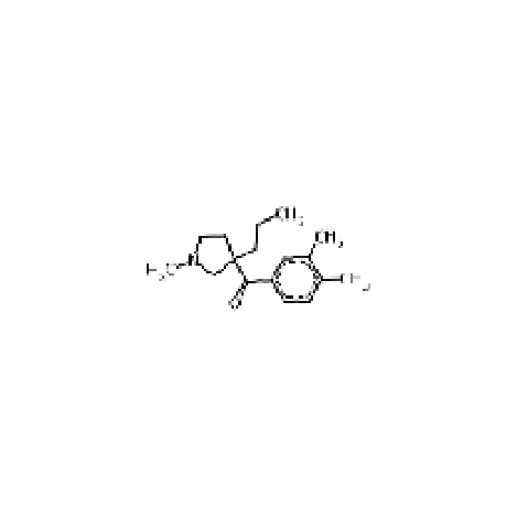 CCCC1(C(=O)c2ccc(C)c(C)c2)CCN(C)C1